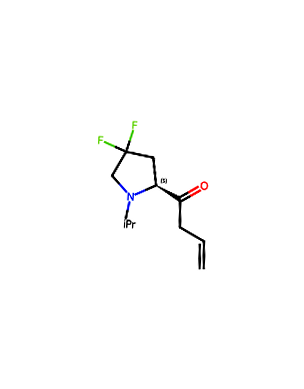 C=CCC(=O)[C@@H]1CC(F)(F)CN1C(C)C